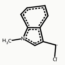 Cn1cc([CH]Cl)c2ccccc21